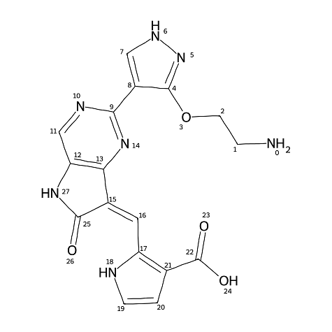 NCCOc1n[nH]cc1-c1ncc2c(n1)/C(=C/c1[nH]ccc1C(=O)O)C(=O)N2